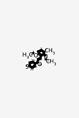 CCOc1ccc(C)c(OCC)c1/C=C/C(=O)C1C=CC(=S)C=C1